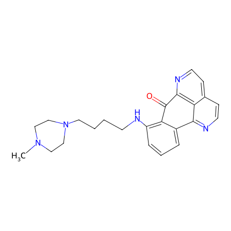 CN1CCN(CCCCNc2cccc3c2C(=O)c2nccc4ccnc-3c24)CC1